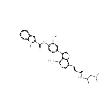 COc1cc(-c2csc3c(/C=C/C(=O)NC(C)CN(C)C)cnc(N)c23)ccc1NC(=O)c1cc2ccccc2n1C